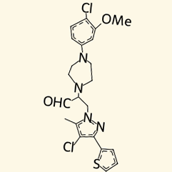 COc1cc(N2CCN(C(C=O)Cn3nc(-c4cccs4)c(Cl)c3C)CC2)ccc1Cl